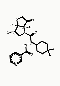 CC1(C)CCC([C@H](NC(=O)c2cccnc2)C(=O)N2C[C@H](Cl)[C@H]3OCC(=O)[C@H]32)CC1